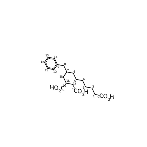 O=C(O)CCCCCCC(Cc1ccccc1)CC(CC(=O)O)C(=O)O